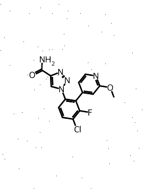 COc1cc(-c2c(-n3cc(C(N)=O)nn3)ccc(Cl)c2F)ccn1